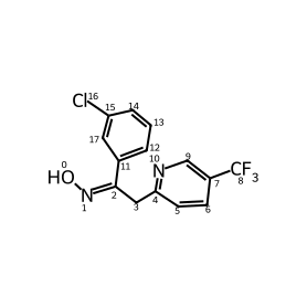 O/N=C(/Cc1ccc(C(F)(F)F)cn1)c1cccc(Cl)c1